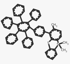 Cc1ccc2c(c1-c1ccc(-c3c(-c4ccccc4)c(-c4ccccc4)c(-c4ccccc4)c(-c4ccccc4)c3-c3ccccc3)cc1)Sc1ccccc1[Si]2(C)C